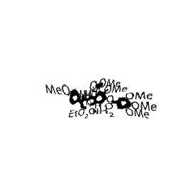 CCOC(N)=O.COC(=O)[C@H]1[C@H]2C[C@@H]3c4[nH]c5cc(OC)ccc5c4CCN3C[C@H]2C[C@@H](OC(=O)c2cc(OC)c(OC)c(OC)c2)[C@@H]1OC